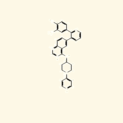 Cc1cc(-c2ncccc2-c2ccc3ncnc(OC4CCN(c5ccncc5)CC4)c3c2)ccc1F